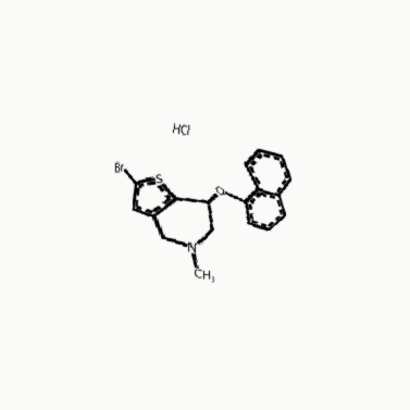 CN1Cc2cc(Br)sc2C(Oc2cccc3ccccc23)C1.Cl